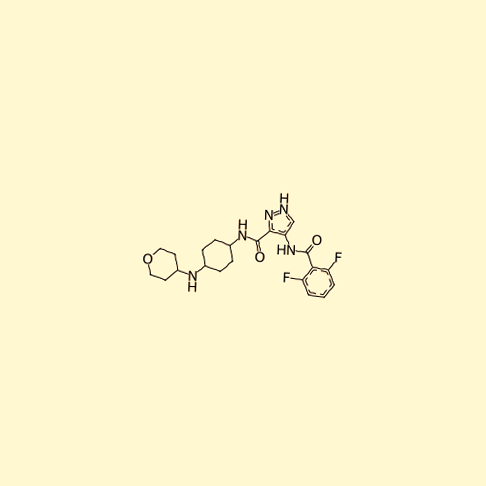 O=C(NC1CCC(NC2CCOCC2)CC1)c1n[nH]cc1NC(=O)c1c(F)cccc1F